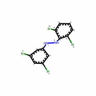 Brc1cc(Br)cc(NNc2c(Br)cccc2Br)c1